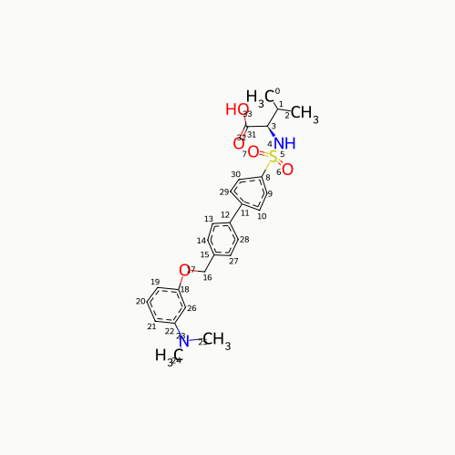 CC(C)[C@@H](NS(=O)(=O)c1ccc(-c2ccc(COc3cccc(N(C)C)c3)cc2)cc1)C(=O)O